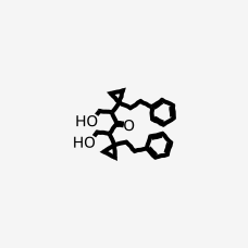 O=C(C(CO)C1(CCc2ccccc2)CC1)C(CO)C1(CCc2ccccc2)CC1